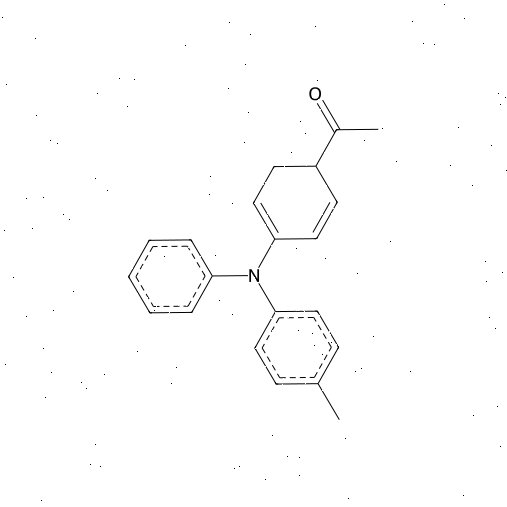 CC(=O)C1C=CC(N(c2ccccc2)c2ccc(C)cc2)=CC1